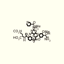 CN(Cc1cnc2nc(N)nc(N)c2n1)c1ccc(C(=O)N[C@@H](CCC(=O)O)C(=O)O)cc1.COC(=O)c1cccnc1.COc1ccc(OC)c(C(O)C(C)N)c1